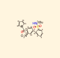 CC(C)(C)NS(=O)(=O)c1ccccc1-c1ccc(C(=O)B2C=CC=C2)c([N+](=O)[O-])c1